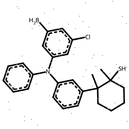 Bc1cc(Cl)cc(N(c2ccccc2)c2cccc(C3(C)CCCCC3(C)S)c2)c1